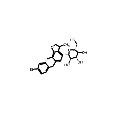 CCc1ccc(Cc2cc([C@@H]3O[C@H](CO)[C@@H](O)[C@H](O)[C@H]3O)c3c(c2Cl)OCC3C)cc1